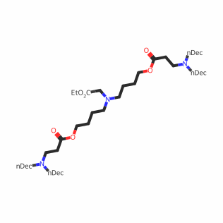 CCCCCCCCCCN(CCCCCCCCCC)CCC(=O)OCCCCN(CCCCOC(=O)CCN(CCCCCCCCCC)CCCCCCCCCC)CC(=O)OCC